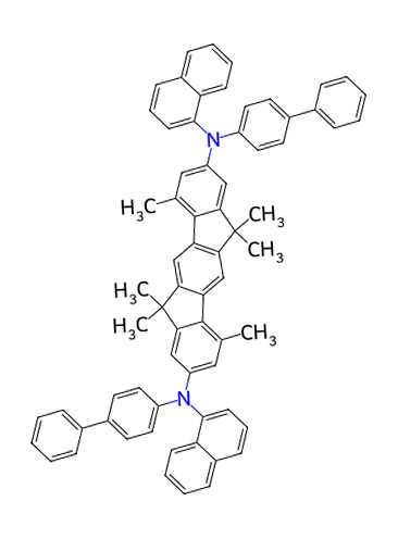 Cc1cc(N(c2ccc(-c3ccccc3)cc2)c2cccc3ccccc23)cc2c1-c1cc3c(cc1C2(C)C)-c1c(C)cc(N(c2ccc(-c4ccccc4)cc2)c2cccc4ccccc24)cc1C3(C)C